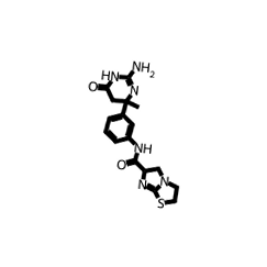 CC1(c2cccc(NC(=O)C3CN4CCSC4=N3)c2)CC(=O)NC(N)=N1